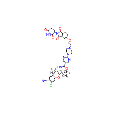 CC1(C)[C@H](NC(=O)c2cnc(N3CCN(CCOc4ccc5c(c4)C(=O)N(C4CCC(=O)NC4=O)C5=O)CC3)nc2)C(C)(C)[C@H]1Oc1ccc(C#N)c(Cl)c1